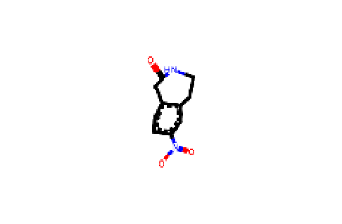 O=C1Cc2ccc([N+](=O)[O-])cc2CCN1